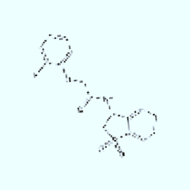 O=C(COc1ccccc1F)NC1CS(=O)(=O)c2ccccc21